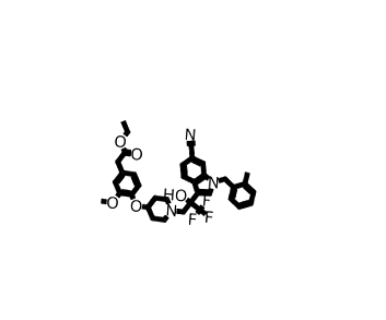 CCOC(=O)Cc1ccc(OC2CCN(CC(O)(c3cn(Cc4ccccc4C)c4cc(C#N)ccc34)C(F)(F)F)CC2)c(OC)c1